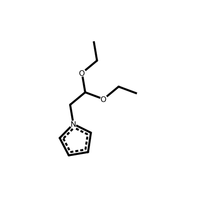 CCOC(Cn1cccc1)OCC